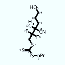 CCCSC(=S)SCC(F)(F)C(C)(C#N)CCCO